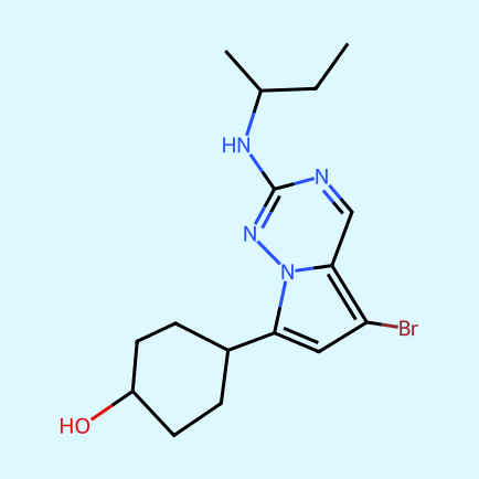 CCC(C)Nc1ncc2c(Br)cc(C3CCC(O)CC3)n2n1